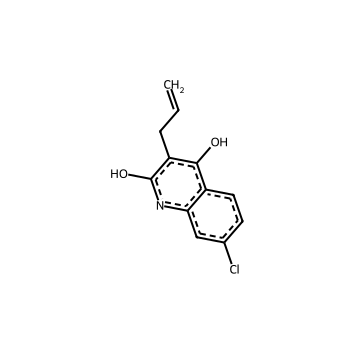 C=CCc1c(O)nc2cc(Cl)ccc2c1O